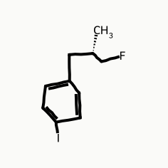 C[C@H](CF)Cc1ccc(I)cc1